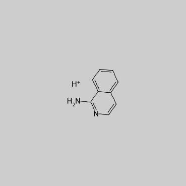 Nc1nccc2ccccc12.[H+]